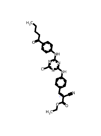 CCCCC(=O)c1ccc(Nc2nc(Cl)nc(Nc3ccc(/C=C(\C#N)C(=O)OCC)cc3)n2)cc1